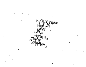 COc1ccc(NC(=O)ON2CCN(c3nc(N)nc4scnc34)C(C)C2)c(C)c1